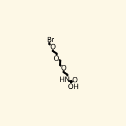 O=C(O)NCCOCCOCCOCBr